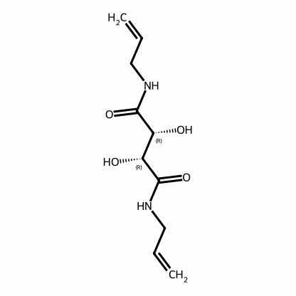 C=CCNC(=O)[C@H](O)[C@@H](O)C(=O)NCC=C